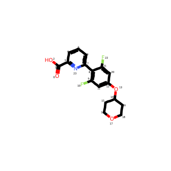 O=C(O)c1cccc(-c2c(F)cc(OC3CCOCC3)cc2F)n1